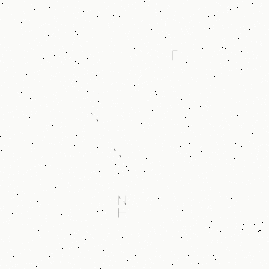 Fc1c[c]c2c(N3CCNCC3)nsc2c1